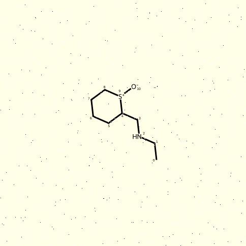 CCNCC1CCCC[S+]1[O-]